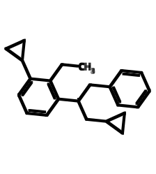 CCc1c([C](Cc2ccccc2)CC2CC2)cccc1C1CC1